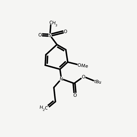 C=CCN(C(=O)OC(C)(C)C)c1ccc(S(C)(=O)=O)cc1OC